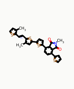 Cc1ccsc1/C=C/c1sc(-c2ccc(-c3ccc(-c4cccs4)c4c3C(=O)N(C)C4=O)s2)cc1C